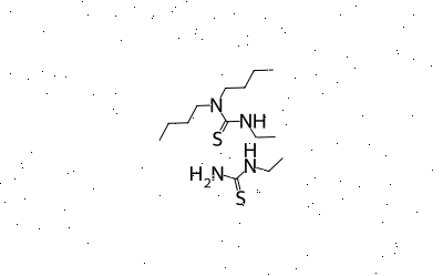 CCCCN(CCCC)C(=S)NCC.CCNC(N)=S